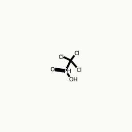 O=[PH](O)C(Cl)(Cl)Cl